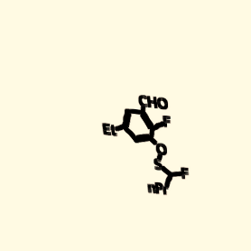 CCCC(F)SOc1cc(CC)cc(C=O)c1F